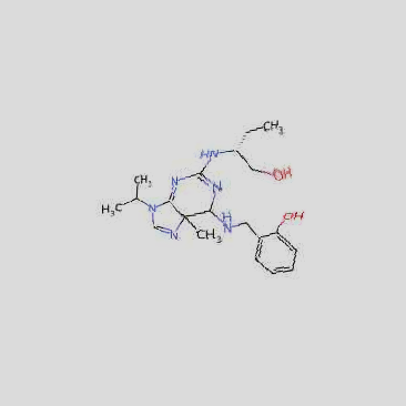 CC[C@H](CO)NC1=NC(NCc2ccccc2O)C2(C)N=CN(C(C)C)C2=N1